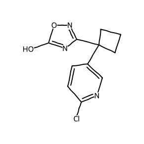 Oc1nc(C2(c3ccc(Cl)nc3)CCC2)no1